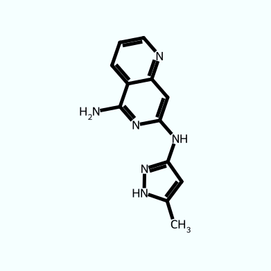 Cc1cc(Nc2cc3ncccc3c(N)n2)n[nH]1